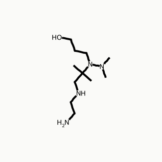 CN(C)N(CCCO)C(C)(C)CNCCN